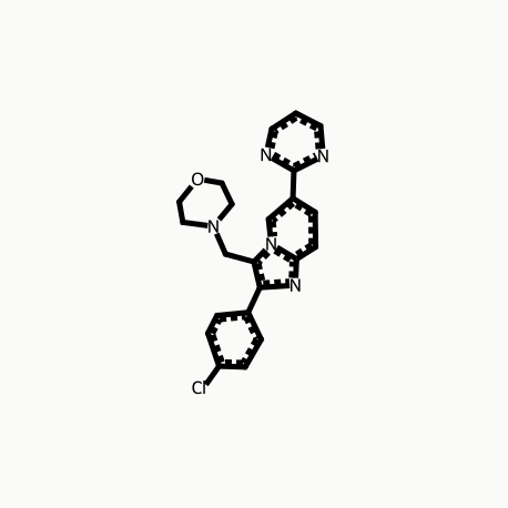 Clc1ccc(-c2nc3ccc(-c4ncccn4)cn3c2CN2CCOCC2)cc1